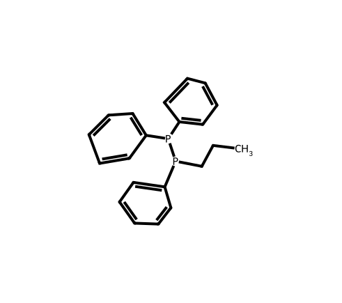 CCCP(c1ccccc1)P(c1ccccc1)c1ccccc1